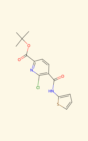 CC(C)(C)OC(=O)c1ccc(C(=O)Nc2cccs2)c(Cl)n1